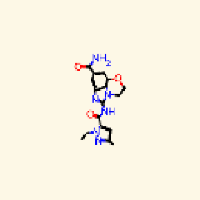 CCn1nc(C)cc1C(=O)Nc1nc2cc(C(N)=O)cc3c2n1CCO3